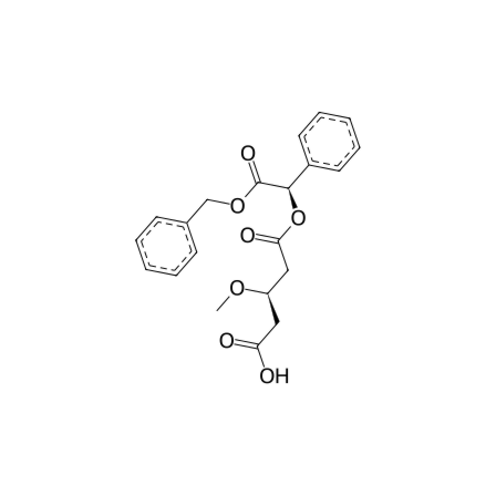 CO[C@H](CC(=O)O)CC(=O)O[C@@H](C(=O)OCc1ccccc1)c1ccccc1